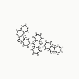 c1ccc2c(c1)ccc1oc3ccc(-c4c5ccccc5c(-c5ccc6c(c5)oc5ccccc56)c5ccccc45)cc3c12